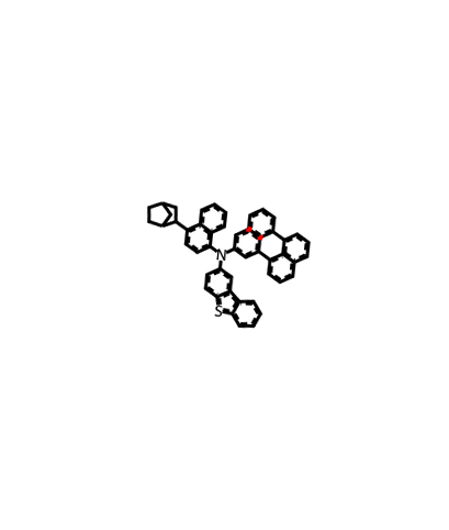 c1ccc(-c2cccc3cccc(-c4cccc(N(c5ccc6sc7ccccc7c6c5)c5ccc(C6CC7CCC6C7)c6ccccc56)c4)c23)cc1